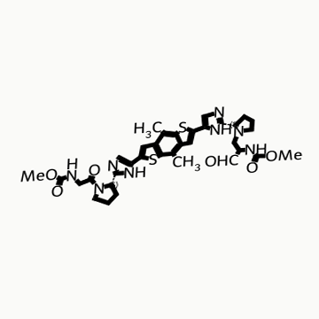 COC(=O)NCC(=O)N1CCC[C@H]1c1ncc(-c2cc3c(C)c4sc(-c5cnc([C@@H]6CCCN6CC(C=O)NC(=O)OC)[nH]5)cc4c(C)c3s2)[nH]1